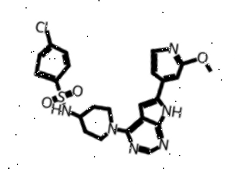 COc1cc(-c2cc3c(N4CCC(NS(=O)(=O)c5ccc(Cl)cc5)CC4)ncnc3[nH]2)ccn1